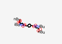 CCCCOC(=O)C(CC(=O)OCC1CCC(COC(=O)CC(NC(C)CC)C(=O)OCCCC)CC1)NC(C)CC